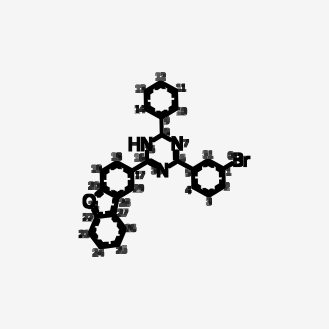 Brc1cccc(C2=NC(c3ccccc3)NC(c3ccc4oc5ccccc5c4c3)=N2)c1